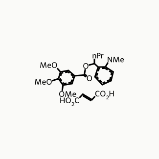 CCCC(OC(=O)c1cc(OC)c(OC)c(OC)c1)c1ccccc1NC.O=C(O)C=CC(=O)O